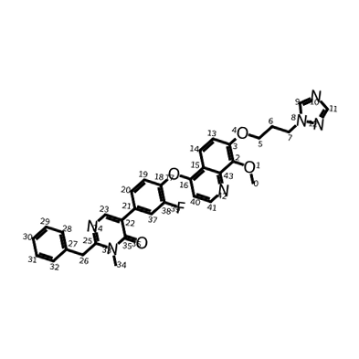 COc1c(OCCCn2cncn2)ccc2c(Oc3ccc(-c4cnc(Cc5ccccc5)n(C)c4=O)cc3F)ccnc12